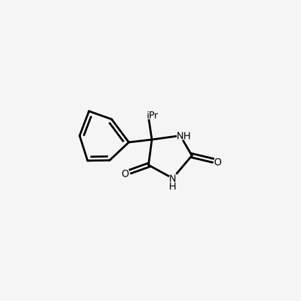 CC(C)C1(c2ccccc2)NC(=O)NC1=O